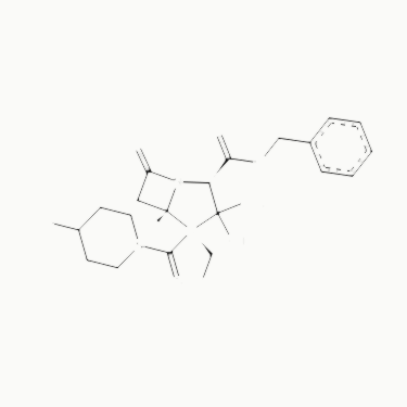 CC1(C)[C@H](C(=O)OCc2ccccc2)N2C(=O)C[C@H]2[S@@]1(CO)C(=O)N1CCC(O)CC1